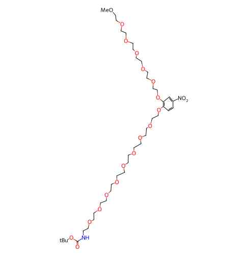 COCCOCCOCCOCCOCCOCCOc1cc([N+](=O)[O-])ccc1OCCOCCOCCOCCOCCOCCOCCOCCOCCNC(=O)OC(C)(C)C